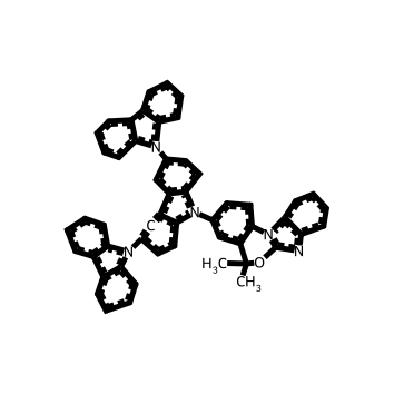 CC1(C)Oc2nc3ccccc3n2-c2ccc(-n3c4ccc(-n5c6ccccc6c6ccccc65)cc4c4cc(-n5c6ccccc6c6ccccc65)ccc43)cc21